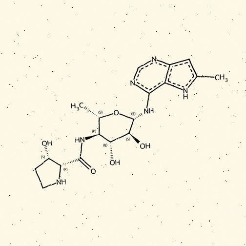 Cc1cc2ncnc(N[C@H]3O[C@@H](C)[C@H](NC(=O)[C@@H]4NCC[C@@H]4O)[C@@H](O)[C@@H]3O)c2[nH]1